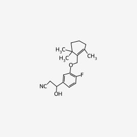 CC1=C(COc2cc(C(O)CC#N)ccc2F)C(C)(C)CCC1